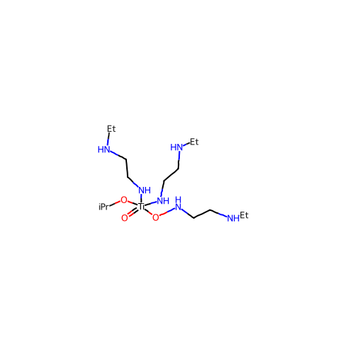 CCNCCN[O][Ti](=[O])([NH]CCNCC)([NH]CCNCC)[O]C(C)C